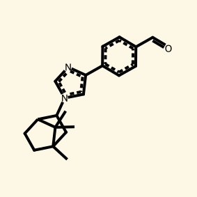 CC12CCC(C(n3cnc(-c4ccc(C=O)cc4)c3)C1)C2(C)C